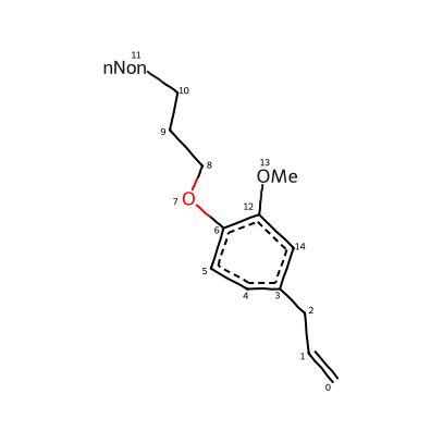 C=CCc1ccc(OCCCCCCCCCCCC)c(OC)c1